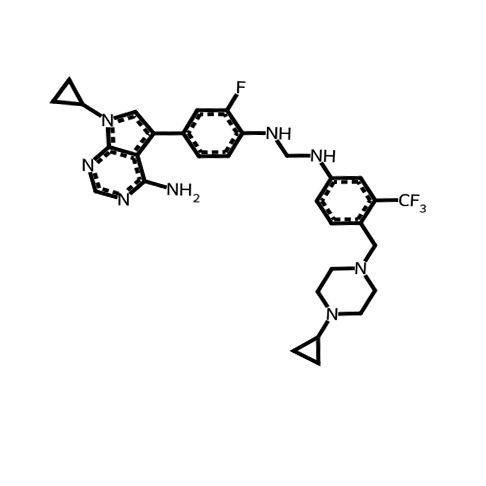 Nc1ncnc2c1c(-c1ccc(NCNc3ccc(CN4CCN(C5CC5)CC4)c(C(F)(F)F)c3)c(F)c1)cn2C1CC1